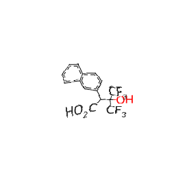 O=C(O)C(c1ccc2ccccc2c1)C(O)(C(F)(F)F)C(F)(F)F